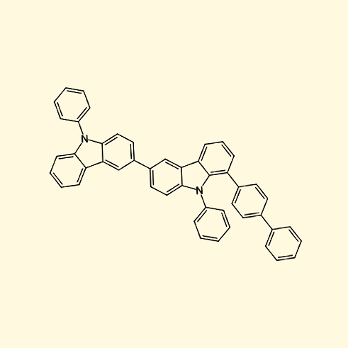 c1ccc(-c2ccc(-c3cccc4c5cc(-c6ccc7c(c6)c6ccccc6n7-c6ccccc6)ccc5n(-c5ccccc5)c34)cc2)cc1